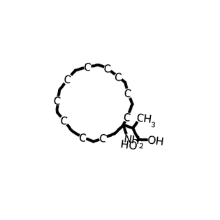 CC(C(O)O)C1(N)CCCCCCCCCCCCCCCCCCC1